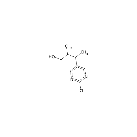 CC(CO)C(C)c1cnc(Cl)nc1